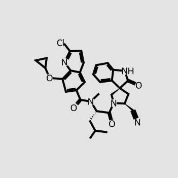 CC(C)C[C@@H](C(=O)N1C[C@]2(C[C@H]1C#N)C(=O)Nc1ccccc12)N(C)C(=O)c1cc(OC2CC2)c2nc(Cl)ccc2c1